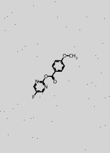 COc1ccc(C(=O)Oc2ncc(F)cn2)cc1